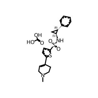 CN1CC=C(c2ccc(S(=O)(=O)N[C@H]3C[C@@H]3c3ccccc3)s2)CC1.O=C(O)O